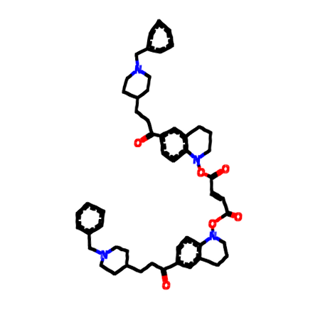 O=C(/C=C/C(=O)ON1CCCc2cc(C(=O)CCC3CCN(Cc4ccccc4)CC3)ccc21)ON1CCCc2cc(C(=O)CCC3CCN(Cc4ccccc4)CC3)ccc21